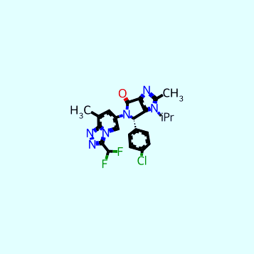 Cc1cc(N2C(=O)c3nc(C)n(C(C)C)c3[C@@H]2c2ccc(Cl)cc2)cn2c(C(F)F)nnc12